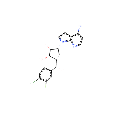 Nc1ccnc2c1ccn2[C@@H]1C[C@H]([C@H](O)c2ccc(Cl)c(F)c2)[C@@H](O)[C@H]1O